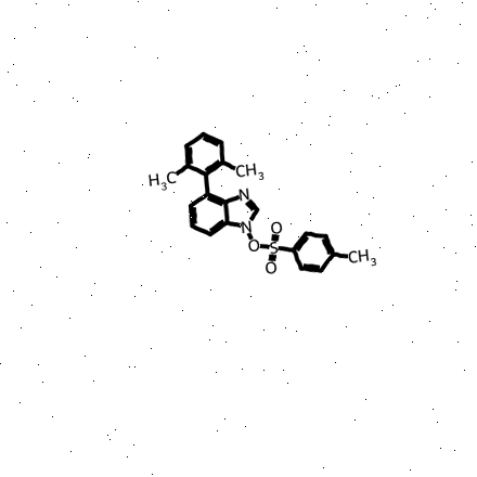 Cc1ccc(S(=O)(=O)On2cnc3c(-c4c(C)cccc4C)cccc32)cc1